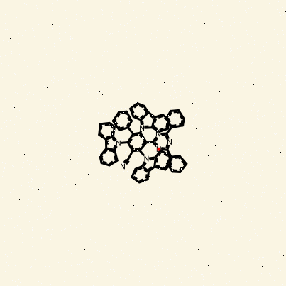 N#Cc1c(-n2c3ccccc3c3ccccc32)c(-c2ccccc2)c(-n2c3ccccc3c3ccccc32)c(-c2nc(-c3ccccc3)nc(-c3ccccc3)n2)c1-n1c2ccccc2c2ccccc21